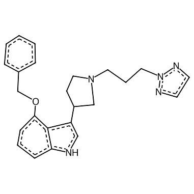 c1ccc(COc2cccc3[nH]cc(C4CCN(CCCn5nccn5)C4)c23)cc1